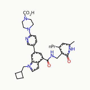 CCCc1cc(C)[nH]c(=O)c1CNC(=O)c1cc(-c2ccc(N3CCN(C(=O)O)CC3)nc2)cc2c1ccn2CC1CCC1